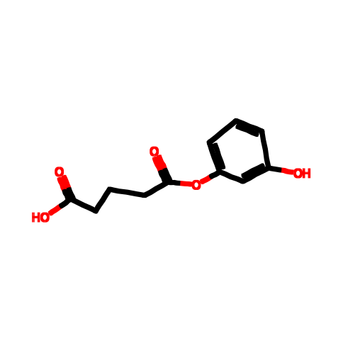 O=C(O)CCCC(=O)Oc1cccc(O)c1